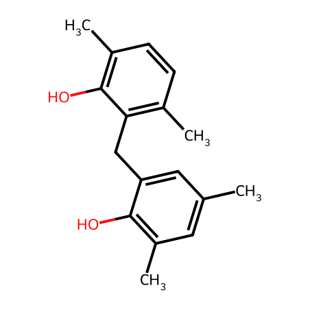 Cc1cc(C)c(O)c(Cc2c(C)ccc(C)c2O)c1